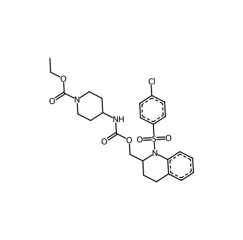 CCOC(=O)N1CCC(NC(=O)OCC2CCc3ccccc3N2S(=O)(=O)c2ccc(Cl)cc2)CC1